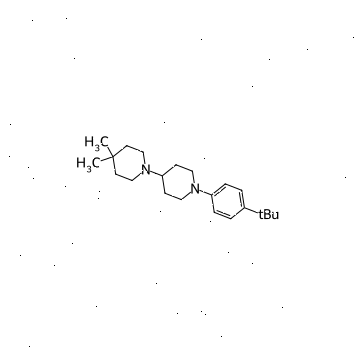 CC1(C)CCN(C2CCN(c3ccc(C(C)(C)C)cc3)CC2)CC1